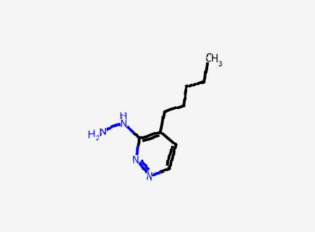 CCCCCc1ccnnc1NN